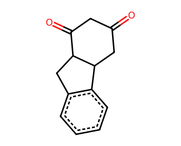 O=C1CC(=O)C2Cc3ccccc3C2C1